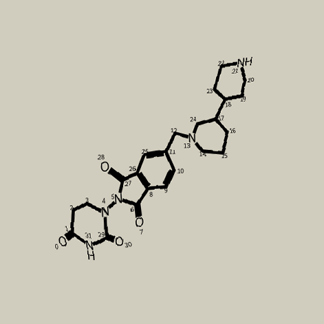 O=C1CCN(N2C(=O)c3ccc(CN4CCCC(C5CCNCC5)C4)cc3C2=O)C(=O)N1